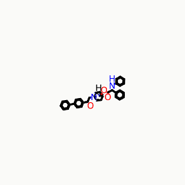 O=C(C[N+]12CCC(CC1)[C@@H](OC(=O)[C@H](Nc1ccccc1)c1ccccc1)C2)c1ccc(-c2ccccc2)cc1